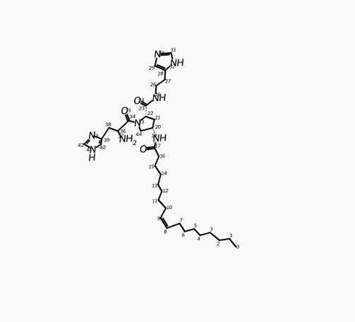 CCCCCCCC/C=C\CCCCCCCC(=O)N[C@H]1C[C@@H](C(=O)NCCc2cnc[nH]2)N(C(=O)C(N)Cc2c[nH]cn2)C1